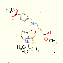 COC(=O)CCCCN(Cc1ccc(C(=O)OC)cc1)C[C@H](OCc1cnc(C(C)(C)C)s1)c1ccccc1